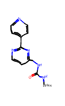 CCCCCCNC(=O)Nc1ccnc(-c2ccncc2)n1